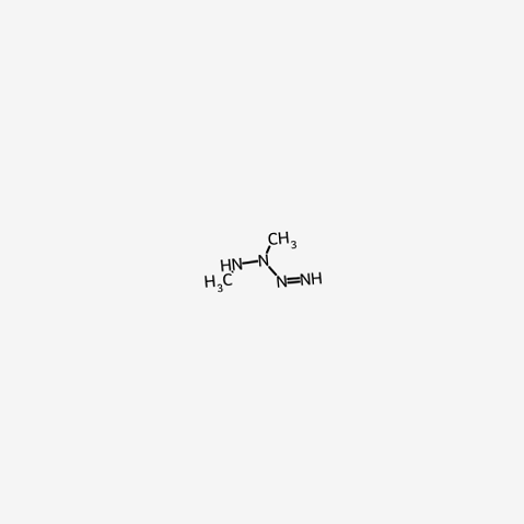 CNN(C)N=N